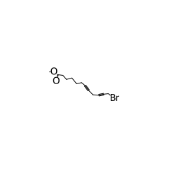 COC(=O)CCCCCC#CCC#CCBr